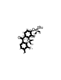 Cc1ccc2c(c1F)[Si](C)(C)c1c(ccc(O[Si](C)(C)C(C)(C)C)c1F)C2=O